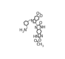 CC(=O)Oc1nc2cc3[nH]c(=O)c(-c4cn(Cc5cccc(CN)c5)c5cc6c(cc45)OCO6)nc3cc2[nH]1